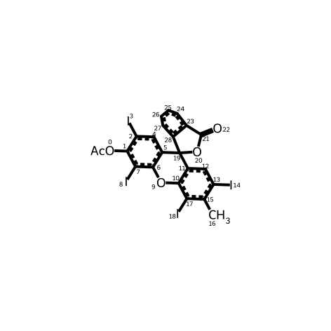 CC(=O)Oc1c(I)cc2c(c1I)Oc1c(cc(I)c(C)c1I)C21OC(=O)c2ccccc21